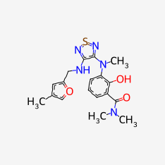 Cc1coc(CNc2nsnc2N(C)c2cccc(C(=O)N(C)C)c2O)c1